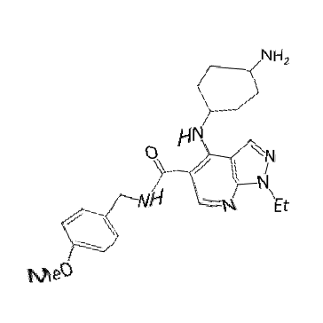 CCn1ncc2c(NC3CCC(N)CC3)c(C(=O)NCc3ccc(OC)cc3)cnc21